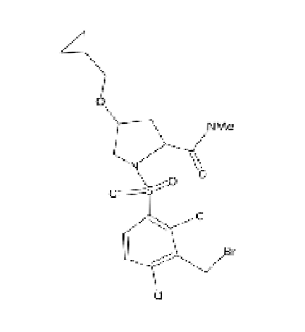 CNC(=O)C1CC(OCC2CC2)CN1S(=O)(=O)c1ccc(Cl)c(CBr)c1Cl